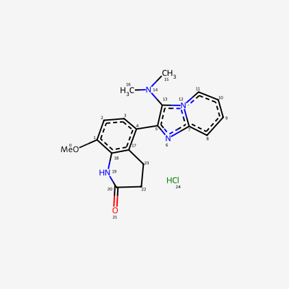 COc1ccc(-c2nc3ccccn3c2N(C)C)c2c1NC(=O)CC2.Cl